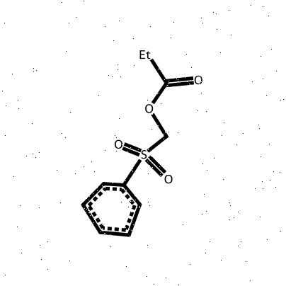 CCC(=O)OCS(=O)(=O)c1ccccc1